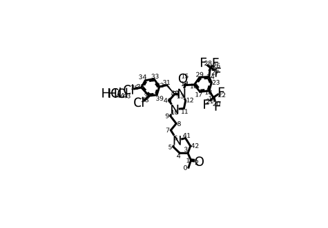 CC(=O)C1CCN(CCCN2CCN(C(=O)c3cc(C(F)(F)F)cc(C(F)(F)F)c3)[C@H](Cc3ccc(Cl)c(Cl)c3)C2)CC1.Cl.Cl